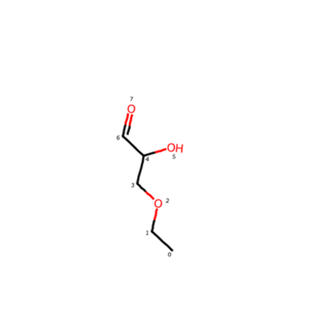 CCOCC(O)C=O